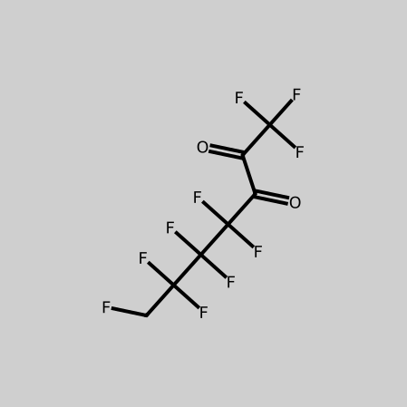 O=C(C(=O)C(F)(F)C(F)(F)C(F)(F)CF)C(F)(F)F